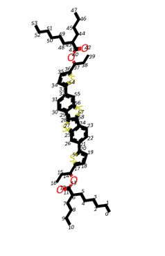 CCCCCCC(CCCC)C(=O)OC(CC)c1ccc(-c2ccc3c(c2)sc2c4ccc(-c5ccc(C(CC)OC(=O)C(CCCC)CCCCCC)s5)cc4sc32)s1